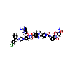 CC1(C)CCC(CN2CCN(c3ccc(C(=O)NS(=O)(=O)c4ccc(NCC5CCN(C(=O)CNc6cccc7c6C(=O)N(C6CCC(=O)NC6=O)C7=O)CC5)c([N+](=O)[O-])c4)c(Oc4cnc5[nH]ccc5c4)c3)CC2)=C(c2ccc(Cl)cc2)C1